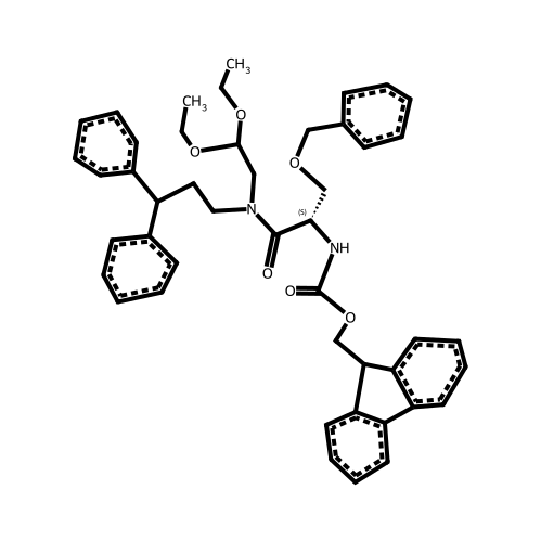 CCOC(CN(CCC(c1ccccc1)c1ccccc1)C(=O)[C@H](COCc1ccccc1)NC(=O)OCC1c2ccccc2-c2ccccc21)OCC